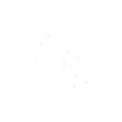 Cc1cc(C2=C(c3ccc(F)cc3)NC(N)(OCc3ccnc(N)n3)N=C2)cc(C(F)F)n1